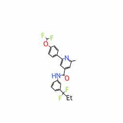 CCC(F)(F)c1cccc(NC(=O)c2cc(C)nc(-c3ccc(OC(F)F)cc3)c2)c1